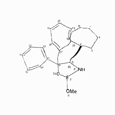 COB1N[C@H](C2CCCCC2)C(c2ccccc2)(c2ccccc2)O1